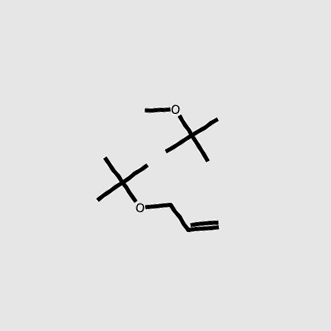 C=CCOC(C)(C)C.COC(C)(C)C